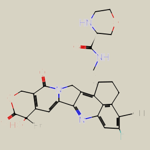 CCC1(O)C(=O)OCc2c1cc1n(c2=O)Cc2c-1nc1cc(F)c(C)c3c1c2[C@H](CNC(=O)[C@@H]1COCCN1)CC3